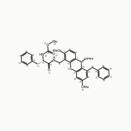 CCCCCCN1c2ccc(OC)c(CNC(=O)[C@H](Cc3ccccc3)NC(=O)OC(C)(C)C)c2Sc2[c]c(OC)cc(Cc3ccccc3)c21